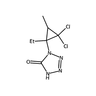 CCC1(n2nn[nH]c2=O)C(C)C1(Cl)Cl